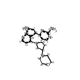 Nc1nccc(-c2c[nH]c3nccc(N4CCC(N5CCOCC5)C4)c23)n1